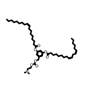 CCCCC/C=C\C/C=C\CCCCCCCC(=O)Oc1cc(COC(=O)OCCN(C)C)cc(OC(=O)CCCCCCC/C=C\CCCCCCCC)c1